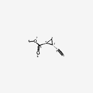 C#C[C@H]1C[C@@H]1C(=O)OC